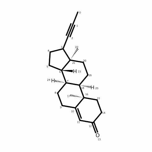 CC#CC1CC[C@H]2[C@@H]3CCC4=CC(=O)CC[C@]4(C)[C@@H]3CC[C@]12C